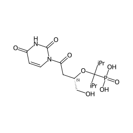 CC(C)C(O[C@H](CO)CC(=O)n1ccc(=O)[nH]c1=O)(C(C)C)P(=O)(O)O